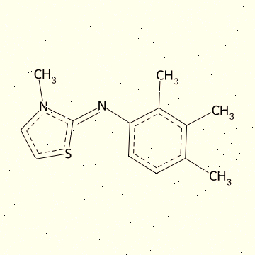 Cc1ccc(N=c2sccn2C)c(C)c1C